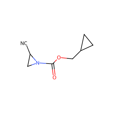 N#CC1CN1C(=O)OCC1CC1